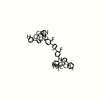 CC(C)(C)n1c(-c2ccccc2)ccc1N(c1cccnc1)c1ccc(-c2ccc(-c3ccc(N(c4cccnc4)c4ccc(-c5ccccc5)n4C(C)(C)C)cc3F)s2)c(F)c1